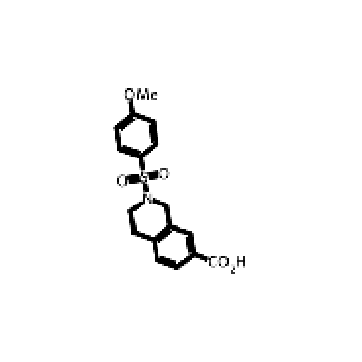 COc1ccc(S(=O)(=O)N2CCc3ccc(C(=O)O)cc3C2)cc1